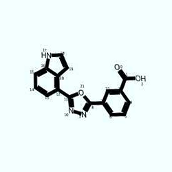 O=C(O)c1cccc(-c2nnc(-c3cccc4[nH]ccc34)o2)c1